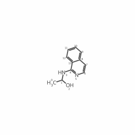 CC(O)Nc1nccc2ccccc12